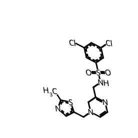 Cc1ncc(CN2C=CN=C(CNS(=O)(=O)c3cc(Cl)cc(Cl)c3)C2)s1